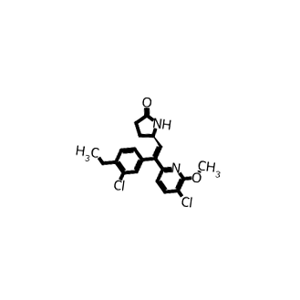 CCc1ccc(/C(=C\[C@H]2CCC(=O)N2)c2ccc(Cl)c(OC)n2)cc1Cl